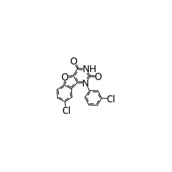 O=c1[nH]c(=O)n(-c2cccc(Cl)c2)c2c1oc1ccc(Cl)cc12